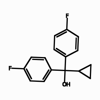 OC(c1ccc(F)cc1)(c1ccc(F)cc1)C1CC1